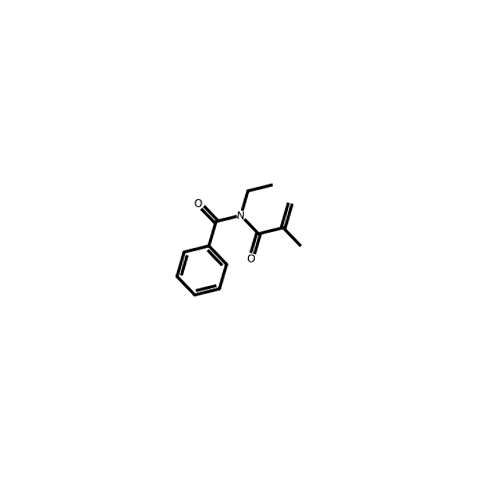 C=C(C)C(=O)N(CC)C(=O)c1ccccc1